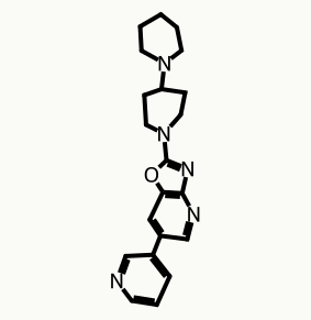 c1cncc(-c2cnc3nc(N4CCC(N5CCCCC5)CC4)oc3c2)c1